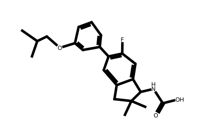 CC(C)COc1cccc(-c2cc3c(cc2F)C(NC(=O)O)C(C)(C)C3)c1